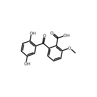 COc1cccc(C(=O)c2cc(O)ccc2O)c1C(=O)O